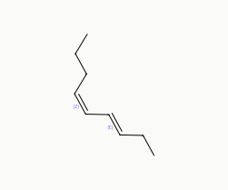 CC/C=C/C=C\CCC